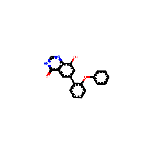 O=c1[nH]cnc2c(O)cc(-c3ccccc3Oc3ccccc3)cc12